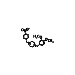 COc1ccc(CN2CCN(Cc3ccc([N+](=O)[O-])cc3)CC2)cc1OC